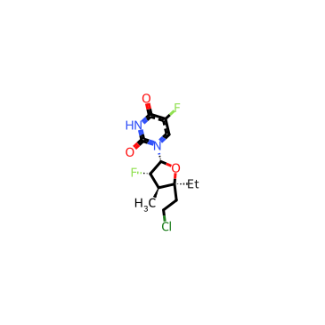 CC[C@@]1(CCCl)O[C@@H](n2cc(F)c(=O)[nH]c2=O)[C@@H](F)[C@@H]1C